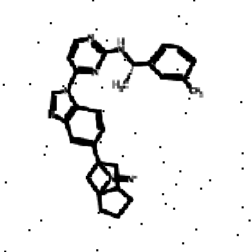 C[C@H](Nc1nccc(-n2cnc3cc(C45CC6CCCC6(C4)[N+]5=[N-])ccc32)n1)c1cccc(C(F)(F)F)c1